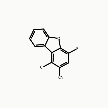 N#Cc1cc(F)c2oc3ccccc3c2c1Cl